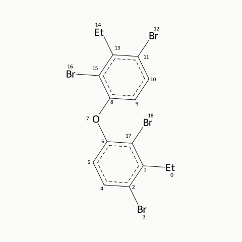 CCc1c(Br)ccc(Oc2ccc(Br)c(CC)c2Br)c1Br